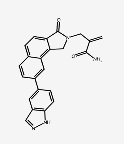 C=C(CN1Cc2c(ccc3ccc(-c4ccc5[nH]ncc5c4)cc23)C1=O)C(N)=O